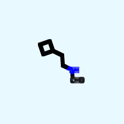 O=CNCCC1CCC1